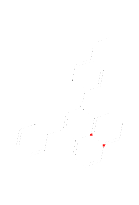 COc1ccc(N(C=C(c2ccccc2)c2ccccc2)c2ccccc2)cc1